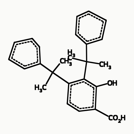 CC(C)(c1ccccc1)c1ccc(C(=O)O)c(O)c1C(C)(C)c1ccccc1